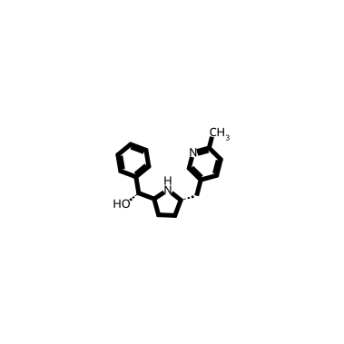 Cc1ccc(C[C@@H]2CCC([C@H](O)c3ccccc3)N2)cn1